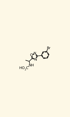 CC(NC(=O)O)c1nc(-c2cccc(Br)c2)no1